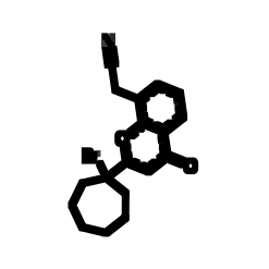 N#CCc1cccc2c(=O)cc(C3(Br)CCCCCC3)oc12